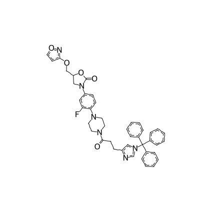 O=C(CCc1cn(C(c2ccccc2)(c2ccccc2)c2ccccc2)cn1)N1CCN(c2ccc(N3CC(COc4ccon4)OC3=O)cc2F)CC1